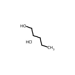 CCCCCO.Cl